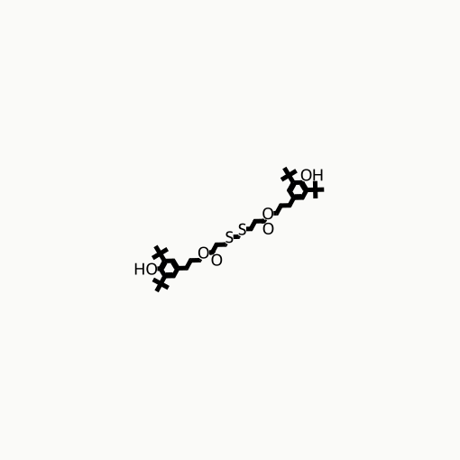 CC(C)(C)c1cc(CCCOC(=O)CCSCSCCC(=O)OCCCc2cc(C(C)(C)C)c(O)c(C(C)(C)C)c2)cc(C(C)(C)C)c1O